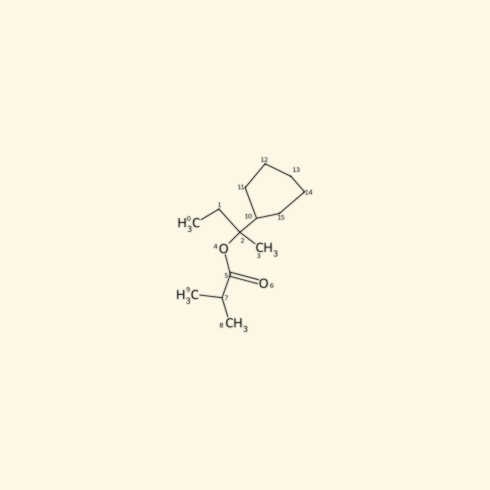 CCC(C)(OC(=O)C(C)C)C1CCCCC1